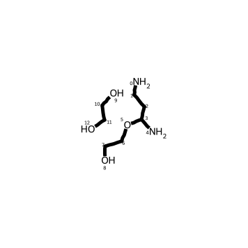 NCCC(N)OCCO.OCCO